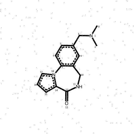 CN(C)Cc1ccc2c(c1)CNC(=O)c1cccn1-2